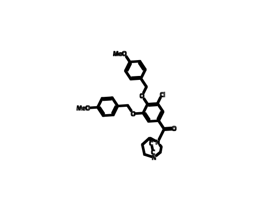 COc1ccc(COc2cc(C(=O)N3CCN4CCC3CC4)cc(Cl)c2OCc2ccc(OC)cc2)cc1